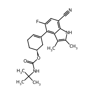 Cc1[nH]c2c(C#N)cc(F)c(C3=CCC[C@H](OC(=O)NC(C)(C)C)C3)c2c1C